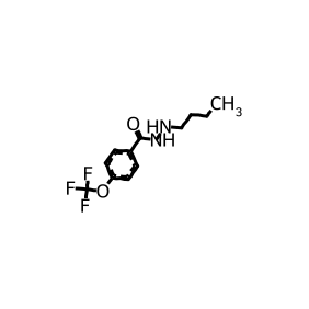 CCCCNNC(=O)c1ccc(OC(F)(F)F)cc1